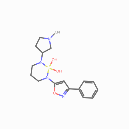 N#CN1CCC(N2CCCN(c3cc(-c4ccccc4)no3)S2(O)O)C1